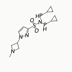 CN1CC(n2ccc(S(=O)(=O)N(PC3CC3)PC3CC3)n2)C1